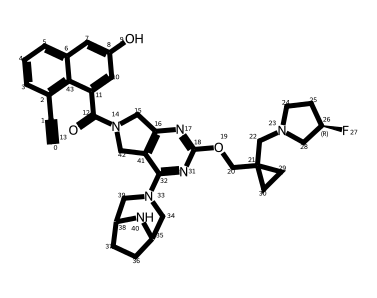 C#Cc1cccc2cc(O)cc(C(=O)N3Cc4nc(OCC5(CN6CC[C@@H](F)C6)CC5)nc(N5CC6CCC(C5)N6)c4C3)c12